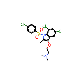 Cc1c(OCCN(C)C)c2cc(Cl)cc(Cl)c2n1S(=O)(=O)c1ccc(Cl)cc1